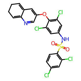 O=S(=O)(Nc1cc(Cl)c(Oc2cnc3c(c2)=CCCC=3)c(Cl)c1)c1ccc(Cl)cc1Cl